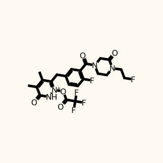 Cc1c(C)c(=O)[nH][n+](OC(=O)C(F)(F)F)c1Cc1ccc(F)c(C(=O)N2CCN(CCF)C(=O)C2)c1